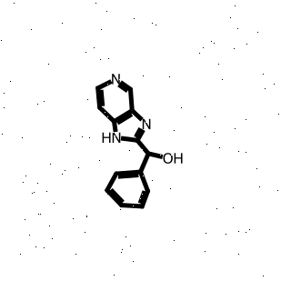 OC(c1ccccc1)c1nc2cnccc2[nH]1